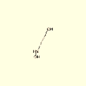 OCCCCCCCCCCCCCCCCCCCCNCCCCO